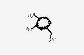 Bc1ccc(COC(C)=O)cc1C(C)CC